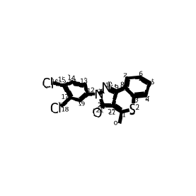 Cc1sc2ccccc2c2nn(-c3ccc(Cl)c(Cl)c3)c(=O)c1-2